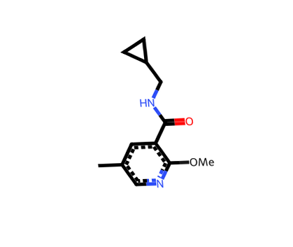 COc1ncc(C)cc1C(=O)NCC1CC1